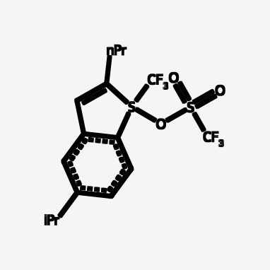 CCCC1=Cc2cc(C(C)C)ccc2S1(OS(=O)(=O)C(F)(F)F)C(F)(F)F